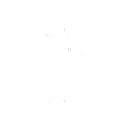 CC1(O)CCN(C(=O)c2ccc(-c3ccc(F)c(F)c3)cc2)CC1